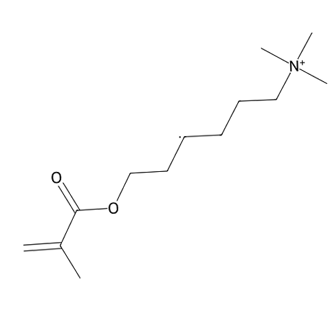 C=C(C)C(=O)OCC[CH]CCC[N+](C)(C)C